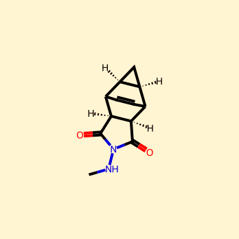 CNN1C(=O)[C@@H]2C3C=CC([C@H]4C[C@@H]34)[C@@H]2C1=O